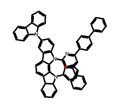 C1=CC2c3ccc4c5cc(-n6c7ccccc7c7ccccc76)ccc5n(-c5cc(-c6ccccc6)cc(-c6ccc(-c7ccccc7)cc6)n5)c4c3N(c3ccccc3)C2C=C1